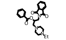 CCN1CCN(CC(CN2C(=O)c3ccccc3C2=O)OC(=O)c2ccccc2)CC1